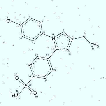 CSc1cn(-c2ccc(Cl)cc2)c(-c2ccc(S(C)(=O)=O)cc2)n1